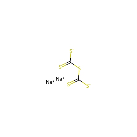 S=C([S-])SC(=S)[S-].[Na+].[Na+]